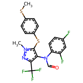 CSc1ccc(Sc2c(N(C=O)c3ccc(F)cc3F)c(C(F)(F)F)nn2C)cc1